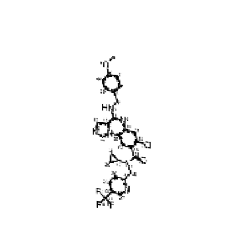 COc1ccc(CNc2nc3cc(Cl)c(C(=O)N(Cc4ccc(C(F)(F)F)cn4)C4CC4)cc3n3cncc23)cc1